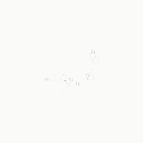 CC(C)(C)OC(=O)c1ccc2nc(CN3CCC(c4cccc(OCc5ccc6cnccc6c5)n4)CC3)n(CC3CCO3)c2c1